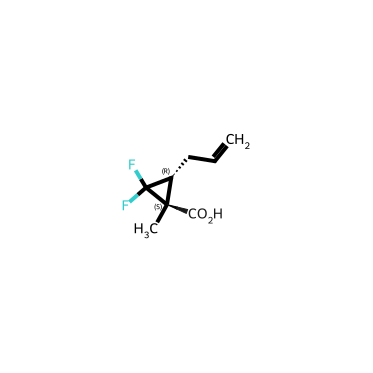 C=CC[C@H]1C(F)(F)[C@]1(C)C(=O)O